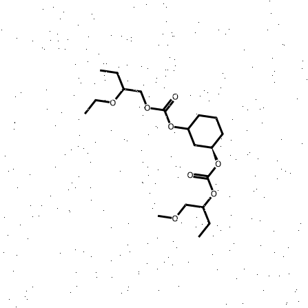 CCOC(CC)COC(=O)OC1CCC[C@@H](OC(=O)OC(CC)COC)C1